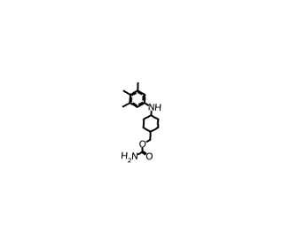 Cc1cc(NC2CCC(COC(N)=O)CC2)cc(C)c1C